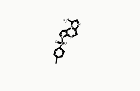 Cc1ccc(S(=O)(=O)n2ccc3c2ncc2ncc(N)n23)cc1